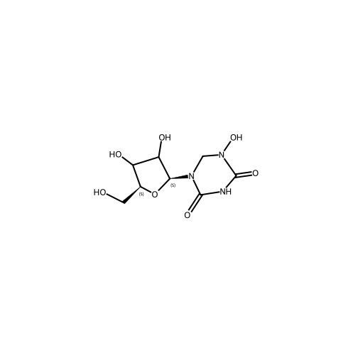 O=C1NC(=O)N([C@H]2O[C@@H](CO)C(O)C2O)CN1O